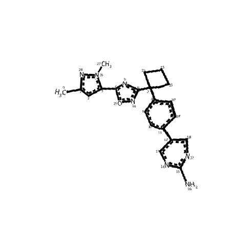 Cc1cc(-c2nc(C3(c4ccc(-c5cnc(N)nc5)cc4)CCC3)no2)n(C)n1